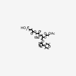 CC(=O)OCC(=O)OC(COc1nsnc1N1CCOCC1)CN(C(=O)COC(=O)CCC(=O)O)C(C)(C)C